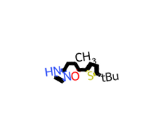 CC(Cc1ncc[nH]1)C(=O)c1ccc(C(C)(C)C)s1